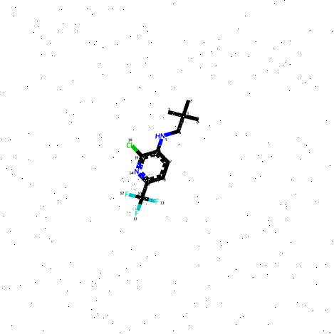 CC(C)(C)CNc1ccc(C(F)(F)F)nc1Cl